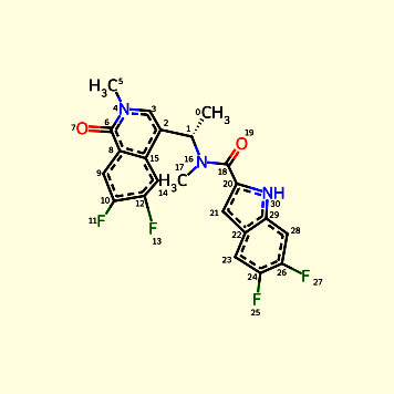 C[C@@H](c1cn(C)c(=O)c2cc(F)c(F)cc12)N(C)C(=O)c1cc2cc(F)c(F)cc2[nH]1